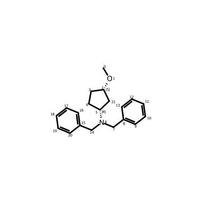 CO[C@H]1CC[C@@H](N(Cc2ccccc2)Cc2ccccc2)C1